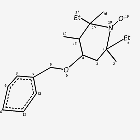 CCC1(C)CC(OCc2ccccc2)C(C)C(C)(CC)N1[O]